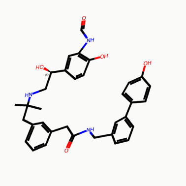 CC(C)(Cc1cccc(CC(=O)NCc2cccc(-c3ccc(O)cc3)c2)c1)NC[C@@H](O)c1ccc(O)c(NC=O)c1